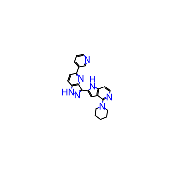 c1cncc(-c2ccc3[nH]nc(-c4cc5c(N6CCCCC6)nccc5[nH]4)c3n2)c1